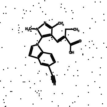 CCC(=Cc1c(C)nn(C)c1-n1ccc2cc(C#N)ccc21)C(=O)O